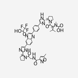 Cc1cc(C(=O)NCC(=O)N2CCC[C@H]2c2ncc(-c3ccc4nc(-c5ccc(-c6c[nH]c([C@@H]7CCCN7C(=O)[C@H](C(C)C)N(C)C(=O)O)n6)cc5)cnc4c3)[nH]2)no1.O=C(O)C(F)(F)F